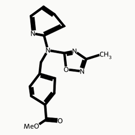 COC(=O)c1ccc(CN(c2ccccn2)c2nc(C)no2)cc1